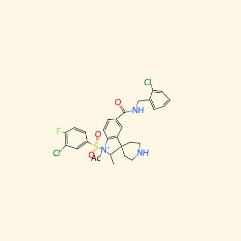 CC(=O)[N+]1(S(=O)(=O)c2ccc(F)c(Cl)c2)c2ccc(C(=O)NCc3ccccc3Cl)cc2C2(CCNCC2)C1C